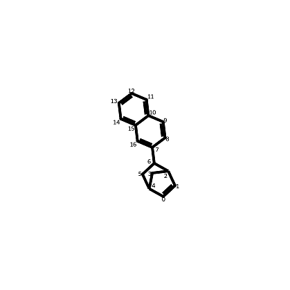 C1=CC2CC1CC2c1ccc2ccccc2c1